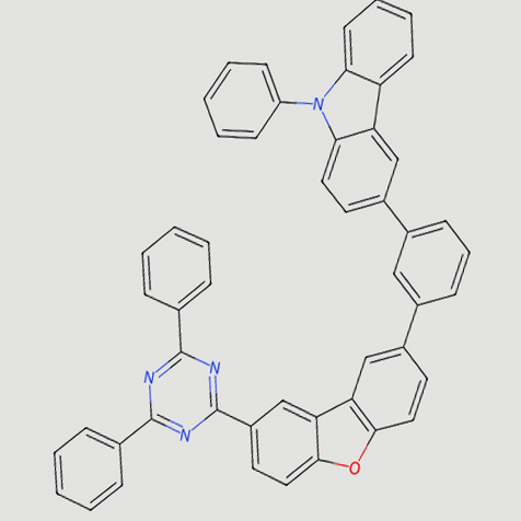 c1ccc(-c2nc(-c3ccccc3)nc(-c3ccc4oc5ccc(-c6cccc(-c7ccc8c(c7)c7ccccc7n8-c7ccccc7)c6)cc5c4c3)n2)cc1